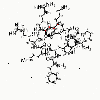 CSCC[C@H](NC(=O)[C@H](Cc1c[nH]c2ccccc12)NC(=O)[C@@H](N)Cc1ccccc1)C(=O)N[C@@H](CCCNC(=N)N)C(=O)N[C@@H](CCCNC(=N)N)C(=O)N[C@@H](CCCCN)C(=O)N[C@@H](CCCNC(=N)N)C(=O)N[C@H](C(=O)N1CCC[C@H]1C(N)=O)C(C)C